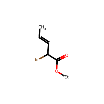 CC=CC(Br)C(=O)OCC